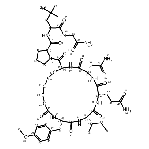 [2H]C(C)(C)CC(NC(=O)[C@@H]1CCCN1C(=O)[C@@H]1CSCCCC(=O)N[C@@H](Cc2ccc(OC)cc2)C(=O)N[C@@H](C(C)CC)C(=O)N[C@@H](CCC(N)=O)C(=O)N[C@@H](CC(N)=O)C(=O)N1)C(=O)NCC(N)=O